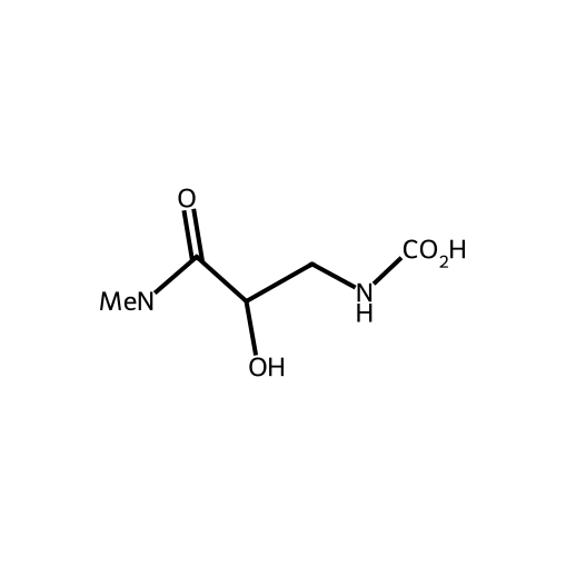 CNC(=O)C(O)CNC(=O)O